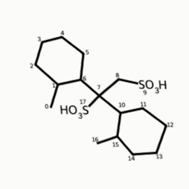 CC1CCCCC1C(CS(=O)(=O)O)(C1CCCCC1C)S(=O)(=O)O